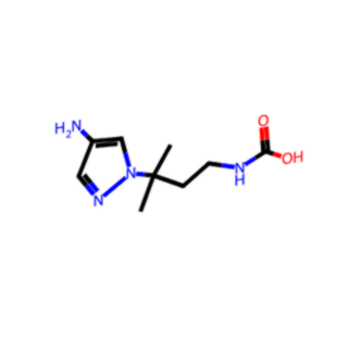 CC(C)(CCNC(=O)O)n1cc(N)cn1